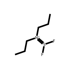 CCC[N+](CCC)=S(F)F